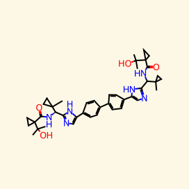 CC1(C(NC(=O)C2(C(C)(C)O)CC2)c2ncc(-c3ccc(-c4ccc(-c5cnc([C@@H](NC(=O)C6(C(C)(C)O)CC6)C6(C)CC6)[nH]5)cc4)cc3)[nH]2)CC1